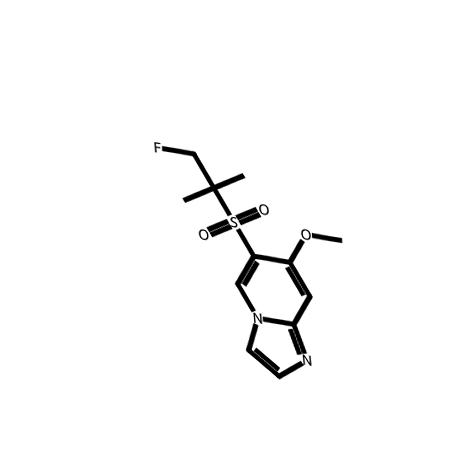 COc1cc2nccn2cc1S(=O)(=O)C(C)(C)CF